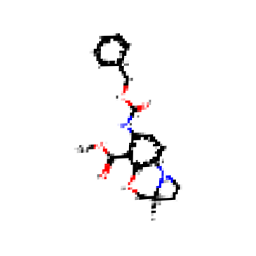 CC(C)(C)OC(=O)c1c(NC(=O)OCc2ccccc2)ccc2c1OC[C@H]1CCN21